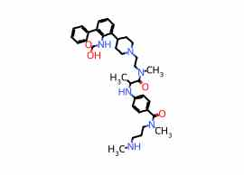 CNCCCN(C)C(=O)c1ccc(NC(C)C(=O)N(C)CCN2CCC(c3cccc(-c4ccccc4)c3NC(=O)O)CC2)cc1